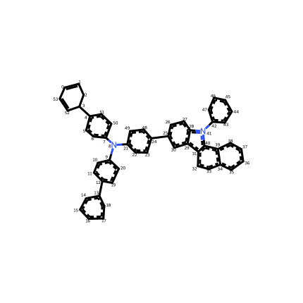 C1=CCC(c2ccc(N(c3ccc(-c4ccccc4)cc3)c3ccc(-c4ccc5c(c4)c4ccc6ccccc6c4n5-c4ccccc4)cc3)cc2)C=C1